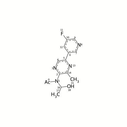 CC(=O)N(c1ncc(-c2cncc(F)c2)nc1C)C(C)O